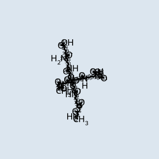 CNCC(=O)C[C@@H]1CC(=O)C(CCCCNC(=O)CCOCC(COCCC(=O)NCCCCC(N)C(=O)CCCCC(=O)O)(COCCC(=O)NCCCCC2C(=O)O[C@H]3CC(=O)CN23)NC(=O)CCN2C(=O)CC(C)C2=O)C1